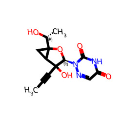 CC#CC1(O)C2CC2([C@@H](C)O)O[C@H]1n1ncc(=O)[nH]c1=O